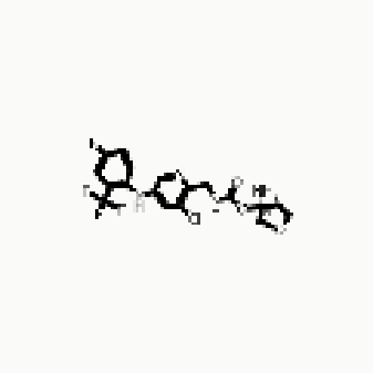 N[C@]1(OC(=O)NCc2ncc(Nc3ccc(F)cc3C(F)(F)F)cc2Cl)CCOC1